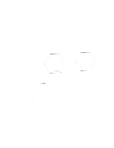 CC(C)OC(=O)c1ccc(O)c(-c2ccccc2)n1